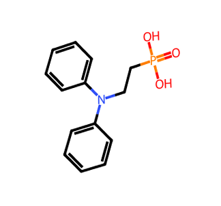 O=P(O)(O)CCN(c1ccccc1)c1ccccc1